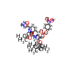 CC(C)(C)OC(=O)N1C[C@H](O[Si](C)(C)C(C)(C)C)[C@@H](OC(=O)Oc2ccc([N+](=O)[O-])cc2)[C@H]1Cc1ccc(-c2cnco2)nc1